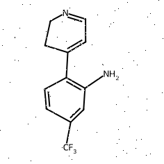 Nc1cc(C(F)(F)F)ccc1C1=CC=NCC1